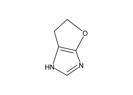 c1nc2c([nH]1)CCO2